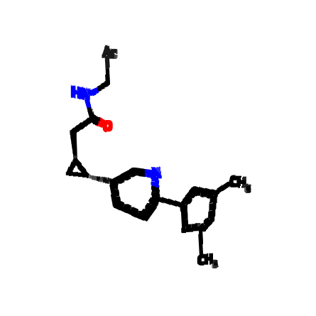 CC(=O)CNC(=O)C[C@@H]1C[C@H]1c1ccc(-c2cc(C)cc(C)c2)nc1